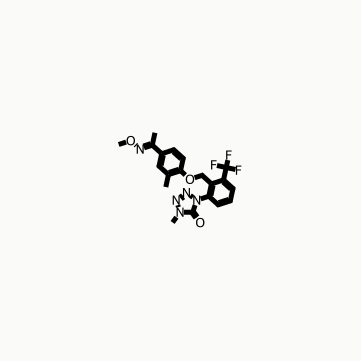 CON=C(C)c1ccc(OCc2c(-n3nnn(C)c3=O)cccc2C(F)(F)F)c(C)c1